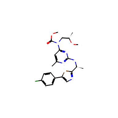 Cc1cc(N2C(=O)OC[C@@H]2[C@@H](C)OC(C)(C)C)nc(N[C@@H](C)c2ncc(-c3ccc(Cl)cc3)s2)n1